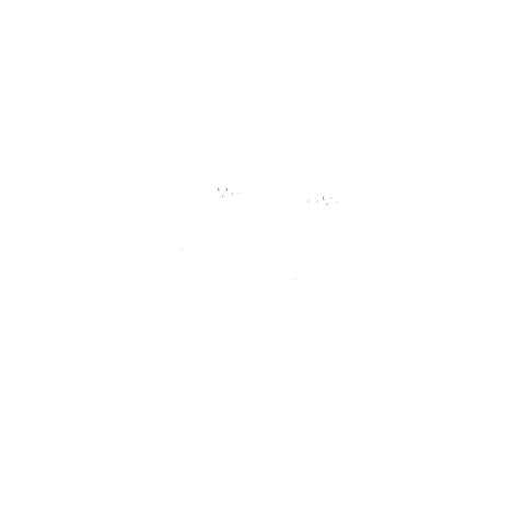 C[O][Ti+]([O]C)[C]1=C(C)C(C)=C(C)C1(C)C.[Cl-]